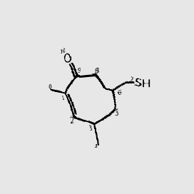 CC1=CC(C)CC(S)CC1=O